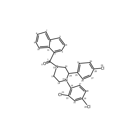 O=C(c1cccc2ccccc12)N1CCN(c2ccc(Cl)cc2Cl)C(c2ccc(Cl)cc2)C1